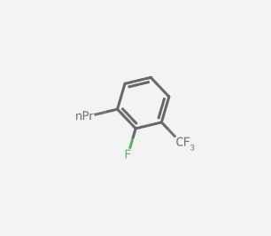 CCCc1cccc(C(F)(F)F)c1F